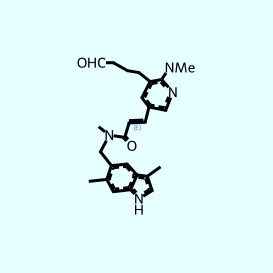 CNc1ncc(/C=C/C(=O)N(C)Cc2cc3c(C)c[nH]c3cc2C)cc1CCCC=O